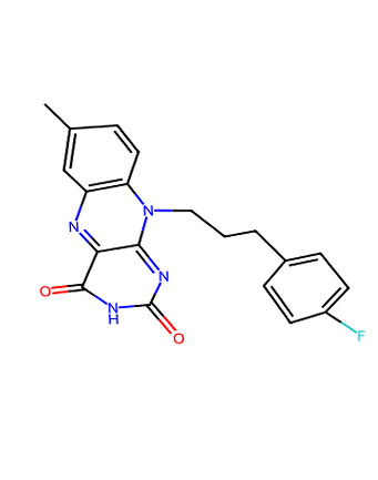 Cc1ccc2c(c1)nc1c(=O)[nH]c(=O)nc-1n2CCCc1ccc(F)cc1